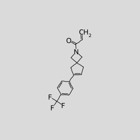 C=CC(=O)N1CC2(CC=C(c3ccc(C(F)(F)F)cc3)C2)C1